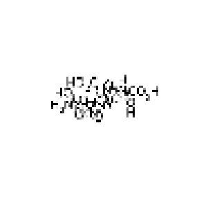 N[C@@H](CO)C(=O)N1CCC[C@H]1C(=O)N1CCC[C@H]1C(=O)N[C@@H](CCC(=O)O)C(=O)N1CCC[C@H]1C(=O)N[C@@H](CO)C(=O)O